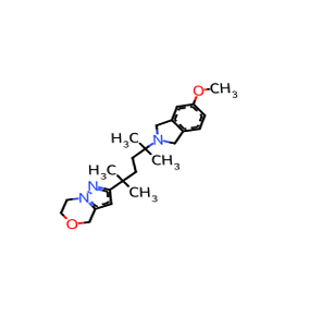 COc1ccc2c(c1)CN(C(C)(C)CCC(C)(C)c1cc3n(n1)CCOC3)C2